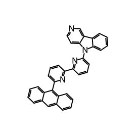 c1cc(-c2cccc(-n3c4ccccc4c4cnccc43)n2)nc(-c2c3ccccc3cc3ccccc23)c1